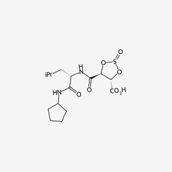 CC(C)C[C@H](NC(=O)[C@H]1OS(=O)O[C@@H]1C(=O)O)C(=O)NC1CCCC1